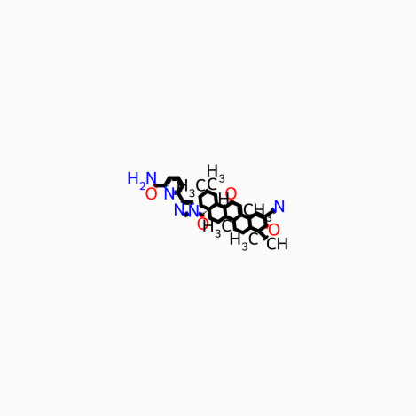 C#C[C@]1(C)C(=O)C(C#N)=C[C@]2(C)C3=CC(=O)[C@@H]4C5CC(C)(C)CC[C@]5(C(=O)n5cnc(-c6cccc(C(N)=O)n6)c5)CCC4[C@]3(C)CCC12